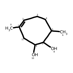 CC1=CCCC(C)C(O)C(O)C1